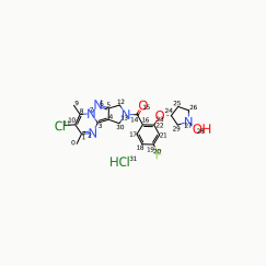 Cc1nc2c3c(nn2c(C)c1Cl)CN(C(=O)c1ccc(F)cc1O[C@@H]1CCN(O)C1)C3.Cl